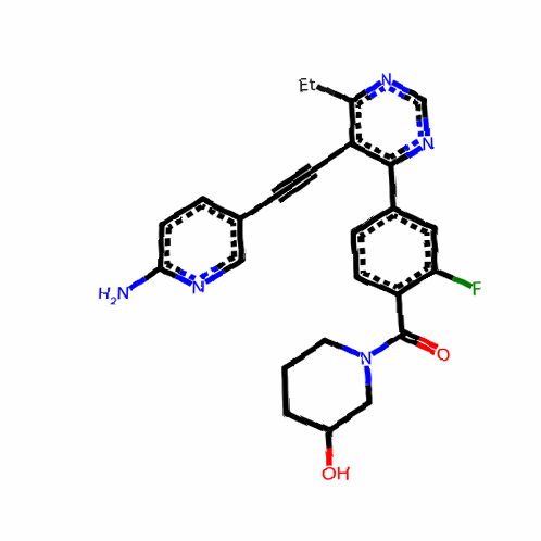 CCc1ncnc(-c2ccc(C(=O)N3CCCC(O)C3)c(F)c2)c1C#Cc1ccc(N)nc1